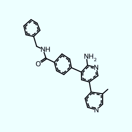 Cc1cnccc1-c1cnc(N)c(-c2ccc(C(=O)NCc3ccccc3)cc2)c1